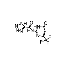 O=C(Nc1nc(C(F)(F)F)cc(=O)[nH]1)c1nnn[nH]1